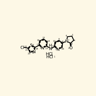 Cl.Cl.O=C1CCCN1c1ccc(Nc2cccc(-c3ncc(Cl)s3)n2)nc1